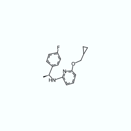 C[C@H](Nc1cccc(OCC2CC2)n1)c1ccc(F)cc1